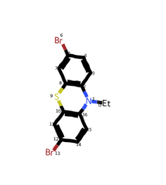 CCN1c2ccc(Br)cc2Sc2cc(Br)ccc21